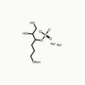 CCCCCCCCCCCCC(OP(=O)([O-])[O-])C(O)CO.[Na+].[Na+]